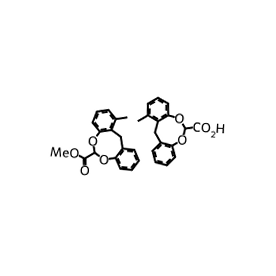 COC(=O)C1Oc2ccccc2Cc2c(C)cccc2O1.Cc1cccc2c1Cc1ccccc1OC(C(=O)O)O2